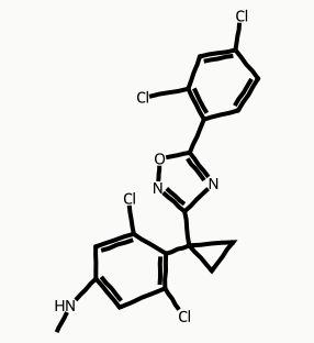 CNc1cc(Cl)c(C2(c3noc(-c4ccc(Cl)cc4Cl)n3)CC2)c(Cl)c1